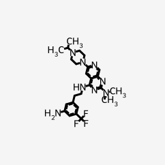 CC(C)N1CCN(c2cc3c(NCCc4cc(N)cc(C(F)(F)F)c4)nc(N(C)C)nc3cn2)CC1